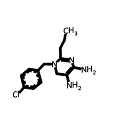 CCCC1=NC(N)=C(N)CN1Cc1ccc(Cl)cc1